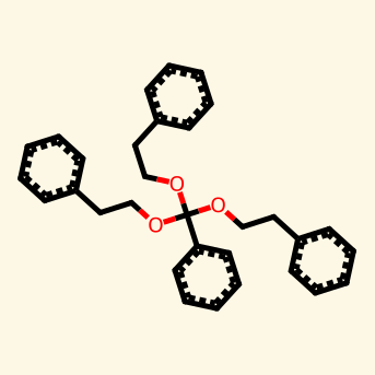 c1ccc(CCOC(OCCc2ccccc2)(OCCc2ccccc2)c2ccccc2)cc1